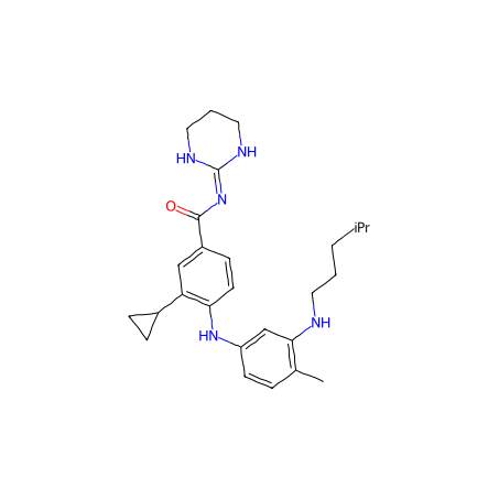 Cc1ccc(Nc2ccc(C(=O)N=C3NCCCN3)cc2C2CC2)cc1NCCCC(C)C